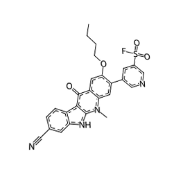 CCCCOc1cc2c(=O)c3c4ccc(C#N)cc4[nH]c3n(C)c2cc1-c1cncc(S(=O)(=O)F)c1